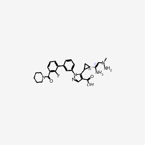 CN(N)/C=C(\N)[C@H]1CC1c1c(C(=O)O)cnn1-c1cccc(-c2cccc(C(=O)N3CCCCC3)c2F)c1